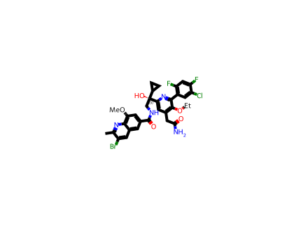 CCOc1c(CC(N)=O)cc([C@@](O)(CNC(=O)c2cc(OC)c3nc(C)c(Br)cc3c2)C2CC2)nc1-c1cc(Cl)c(F)cc1F